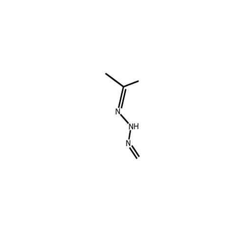 C=NNN=C(C)C